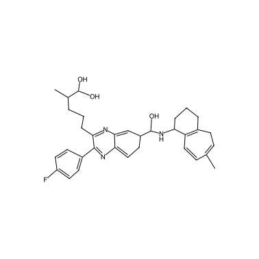 CC1=CCC2=C(C=C1)C(NC(O)C1C=c3nc(CCCC(C)C(O)O)c(-c4ccc(F)cc4)nc3=CC1)CCC2